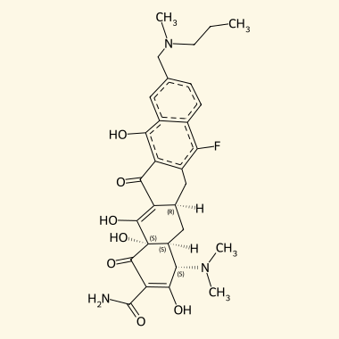 CCCN(C)Cc1ccc2c(F)c3c(c(O)c2c1)C(=O)C1=C(O)[C@]2(O)C(=O)C(C(N)=O)=C(O)[C@@H](N(C)C)[C@@H]2C[C@@H]1C3